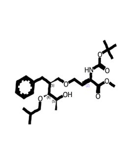 COC(=O)/C(=C/COC[C@H](Cc1ccccc1)[C@@H](OCC(C)C)[C@H](C)O)NC(=O)OC(C)(C)C